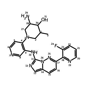 CC1CN(c2ccncc2Nc2ncc3ccc(-c4ncccc4F)nn23)CC(N)C1O